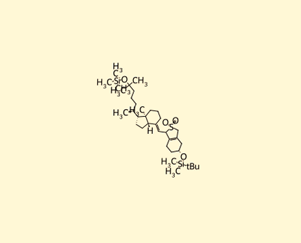 C[C@@H](CCCC(C)(C)O[Si](C)(C)C)[C@H]1CC[C@H]2/C(=C/C3C4=C(C[C@H](O[Si](C)(C)C(C)(C)C)CC4)CS3(=O)=O)CCC[C@]12C